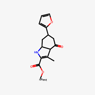 CCCCCOC(=O)C1=C(C)C2C(=O)CC(c3ccco3)CC2N1